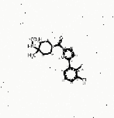 CC1(NC(=O)O)CCN(C(=O)c2ccc(-c3cccc(Cl)c3Cl)o2)CC1